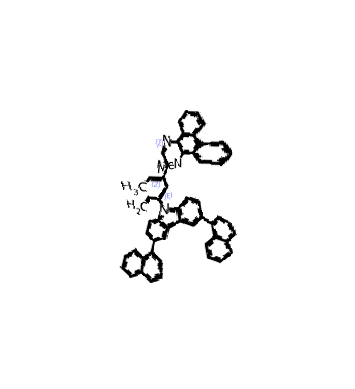 C=C/C(=C\C(=C/C)C/C=N\c1c(NC)c2ccccc2c2ccccc12)n1c2ccc(-c3cccc4ccccc34)cc2c2cc(-c3cccc4ccccc34)ccc21